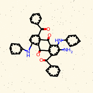 Nc1cc(C(=O)c2ccccc2)c2c(c1Nc1ccccc1)C(=O)c1c(C(=O)c3ccccc3)ccc(Nc3ccccc3)c1C2=O